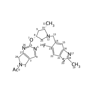 CC(=O)N1Cc2cnc(O[C@@H]3C[C@H](C)N(Cc4cc5nc(C)sc5cc4F)C3)nc2C1